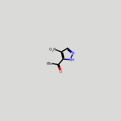 CC(C)(C)C(=O)c1[nH]ncc1[N+](=O)[O-]